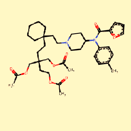 CC(=O)OCCC(CCC1(CCN2CCC(N(C(=O)c3ccco3)c3ccc(C)cc3)CC2)CCCCC1)(COC(C)=O)COC(C)=O